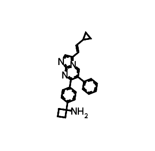 NC1(c2ccc(-c3nc4ncc(C=CC5CC5)n4cc3-c3ccccc3)cc2)CCC1